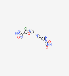 COc1cc(-c2cn(C)c(=O)c3[nH]ncc23)cc(Cl)c1CN1CCC(CCN2CCC(c3ccc(NC4CCC(=O)NC4=O)cc3)CC2)CC1